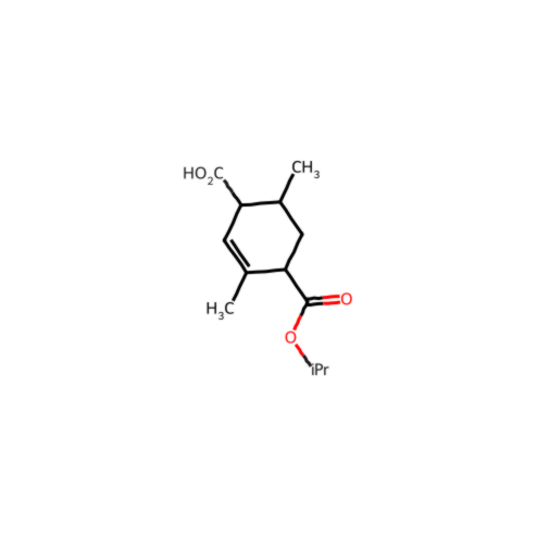 CC1=CC(C(=O)O)C(C)CC1C(=O)OC(C)C